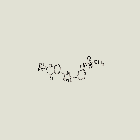 CCC1(CC)CC(=O)c2cc(-c3nc(-c4cccc(NS(C)(=O)=O)c4)no3)ccc2O1